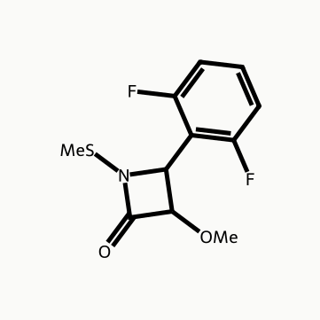 COC1C(=O)N(SC)C1c1c(F)cccc1F